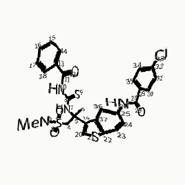 CNS(=O)(=O)CC(C)(NC(=S)NC(=O)c1ccccc1)c1csc2ccc(NC(=O)c3ccc(Cl)cc3)cc12